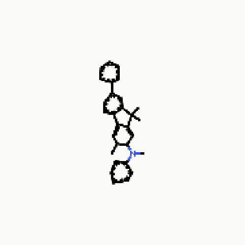 CC1C=C2C(=CC1N(C)c1ccccc1)C(C)(C)c1cc(-c3ccccc3)ccc12